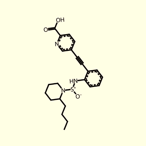 CCCCC1CCCCN1[S+]([O-])Nc1ccccc1C#Cc1ccc(C(=O)O)nc1